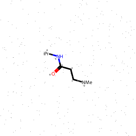 CNCCC(=O)NC(C)C